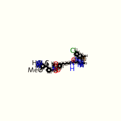 COc1cc([C@@H](CC(=O)O)c2cccc(CN3C[C@@H](C)Oc4cc(CCCCCNC(=O)CC5N=C(c6ccc(Cl)cc6)c6c(sc(C)c6C)-n6c(C)nnc65)ccc4S3(=O)=O)c2)cc2nnn(C)c12